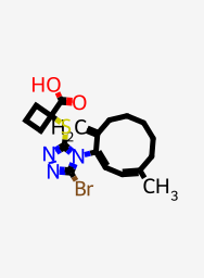 C=C1CCCCC/C(C)=C\C=C/1n1c(Br)nnc1SC1(C(=O)O)CCC1